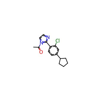 CC(=O)n1ccnc1-c1ccc(C2CCCC2)cc1Cl